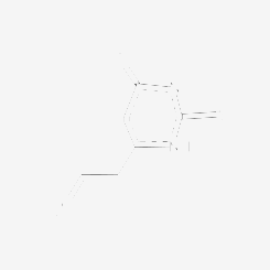 C=CCc1cc(=O)[nH]c(=S)[nH]1